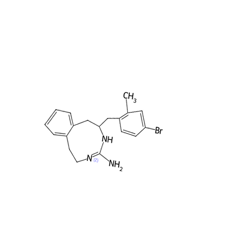 Cc1cc(Br)ccc1CC1Cc2ccccc2CC/N=C(/N)N1